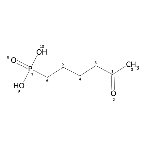 CC(=O)CCCCP(=O)(O)O